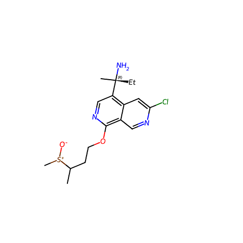 CC[C@@](C)(N)c1cnc(OCCC(C)[S+](C)[O-])c2cnc(Cl)cc12